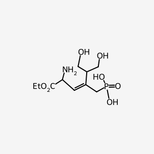 CCOC(=O)C(N)C=C(CP(=O)(O)O)C(CO)CO